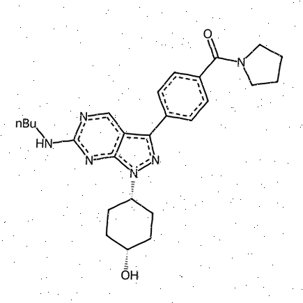 CCCCNc1ncc2c(-c3ccc(C(=O)N4CCCC4)cc3)nn([C@H]3CC[C@@H](O)CC3)c2n1